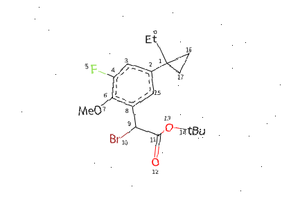 CCC1(c2cc(F)c(OC)c(C(Br)C(=O)OC(C)(C)C)c2)CC1